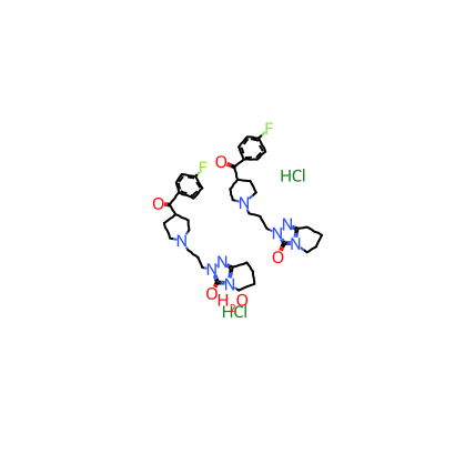 Cl.Cl.O.O=C(c1ccc(F)cc1)C1CCN(CCCn2nc3n(c2=O)CCCC3)CC1.O=C(c1ccc(F)cc1)C1CCN(CCCn2nc3n(c2=O)CCCC3)CC1